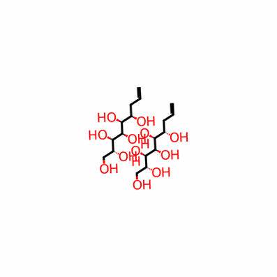 C=CC[C@@H](O)[C@H](O)[C@@H](O)[C@H](O)[C@H](O)CO.C=CC[C@H](O)[C@H](O)[C@@H](O)[C@H](O)[C@H](O)CO